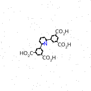 O=C(O)c1cc(C(=O)O)cc(-c2cccc(-c3cc(C(=O)O)cc(C(=O)O)c3)n2)c1